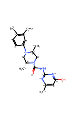 COc1cc(N2C[C@@H](C)N(C(=O)Nc3nc(C)cc(O)n3)C[C@@H]2C)ccc1C#N